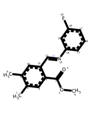 COC(=O)c1cc(C)c(C)cc1/C=N/c1cccc(F)c1